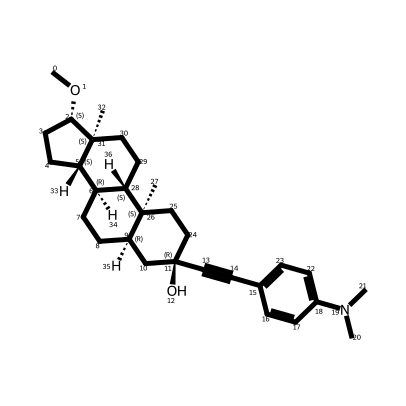 CO[C@H]1CC[C@H]2[C@@H]3CC[C@@H]4C[C@@](O)(C#Cc5ccc(N(C)C)cc5)CC[C@]4(C)[C@H]3CC[C@]12C